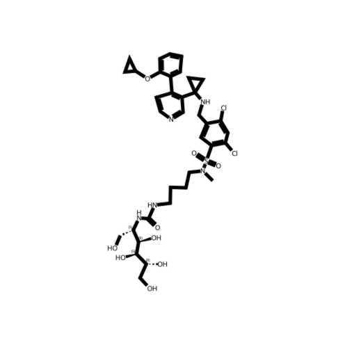 CN(CCCCNC(=O)N[C@@H](CO)[C@@H](O)[C@H](O)[C@H](O)CO)S(=O)(=O)c1cc(CNC2(c3cnccc3-c3ccccc3OC3CC3)CC2)c(Cl)cc1Cl